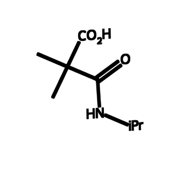 CC(C)NC(=O)C(C)(C)C(=O)O